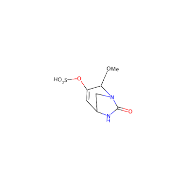 COC1C(OS(=O)(=O)O)=CC2CN1C(=O)N2